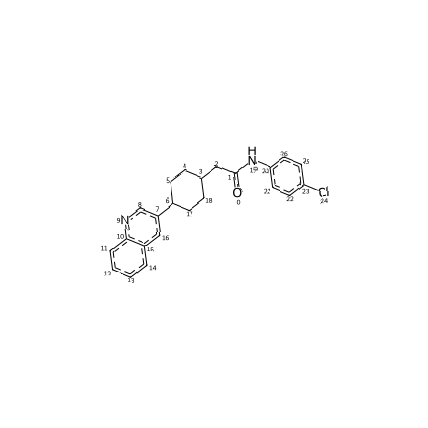 O=C(CC1CCC(c2cnc3ccccc3c2)CC1)Nc1ccc(Cl)cc1